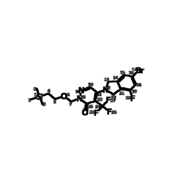 C[Si](C)(C)CCOCn1ncc(N2Cc3cc(Br)cc(F)c3C2)c(C(F)(F)F)c1=O